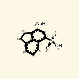 O=S(=O)(O)c1ccc2c3c(cccc13)CC2.[NaH]